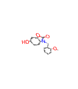 COc1ccccc1Cn1c(=O)oc2cc(O)ccc21